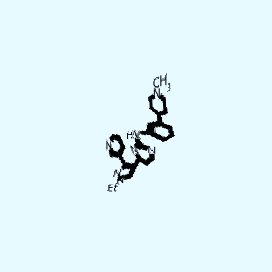 CCn1cc(-c2ccnc(Nc3cccc(C4CCN(C)CC4)c3)n2)c(-c2cccnc2)n1